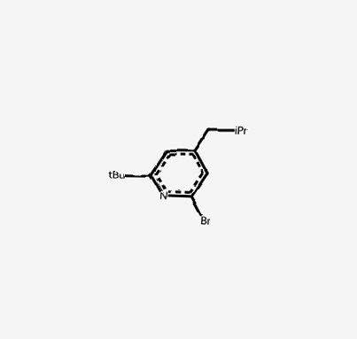 CC(C)Cc1cc(Br)nc(C(C)(C)C)c1